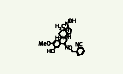 COc1cc2c(cc1O)C(=NOCc1ccccc1C#N)C[C@@H]1[C@@H]2CC[C@]2(C)C(=NO)CC[C@@H]12